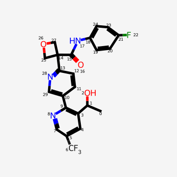 CC(O)c1cc(C(F)(F)F)cnc1-c1ccc(C2(C(=O)Nc3ccc(F)cc3)COC2)nc1